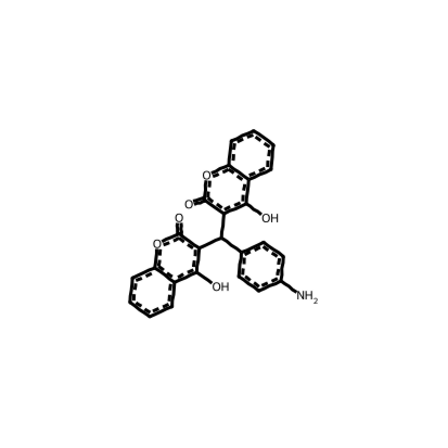 Nc1ccc(C(c2c(O)c3ccccc3oc2=O)c2c(O)c3ccccc3oc2=O)cc1